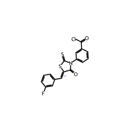 O=C(Cl)c1cccc(N2C(=O)/C(=C/c3cccc(F)c3)SC2=S)c1